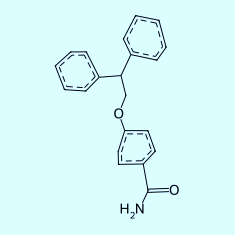 NC(=O)c1ccc(OCC(c2ccccc2)c2ccccc2)cc1